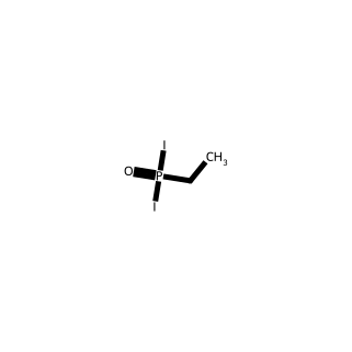 CCP(=O)(I)I